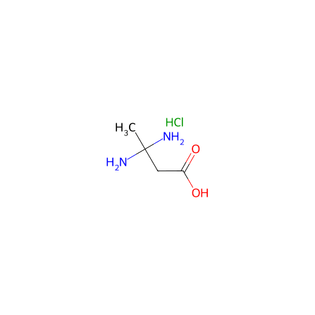 CC(N)(N)CC(=O)O.Cl